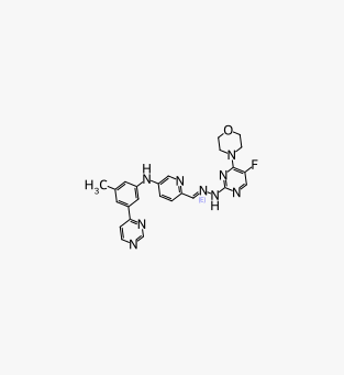 Cc1cc(Nc2ccc(/C=N/Nc3ncc(F)c(N4CCOCC4)n3)nc2)cc(-c2ccncn2)c1